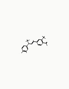 CC(=O)c1ccc(/C(F)=C/C(c2ccc(Cl)c(Cl)c2)C(F)(F)F)cc1C(F)(F)F